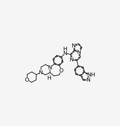 c1cn2cc(-c3ccc4cn[nH]c4c3)nc(Nc3ccc4c(c3)OCC[C@H]3CN(C5CCOCC5)CCN43)c2n1